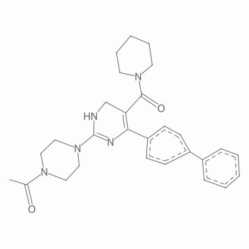 CC(=O)N1CCN(C2=NC(c3ccc(-c4ccccc4)cc3)=C(C(=O)N3CCCCC3)CN2)CC1